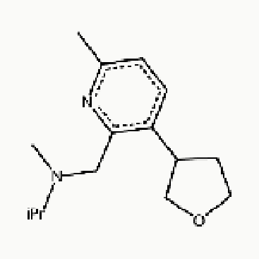 Cc1ccc(C2CCOC2)c(CN(C)C(C)C)n1